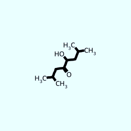 CC(C)CC(=O)C(O)CC(C)C